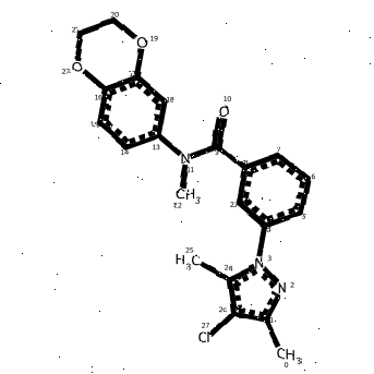 Cc1nn(-c2cccc(C(=O)N(C)c3ccc4c(c3)OCCO4)c2)c(C)c1Cl